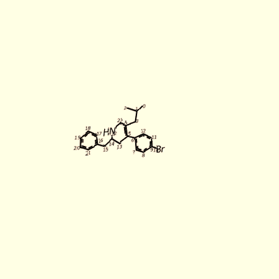 CC(C)CC1=C(c2ccc(Br)cc2)CC(Cc2ccccc2)NC1